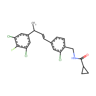 O=C(NCc1ccc(/C=C/C(c2cc(Cl)c(F)c(Cl)c2)C(F)(F)F)cc1Cl)C1CC1